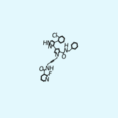 O=C(NCC#CCn1cc(-c2n[nH]cc2-c2ccccc2Cl)cc1C(=O)NCc1ccccc1)c1cccnc1F